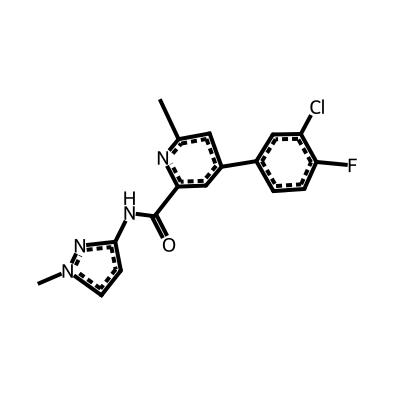 Cc1cc(-c2ccc(F)c(Cl)c2)cc(C(=O)Nc2ccn(C)n2)n1